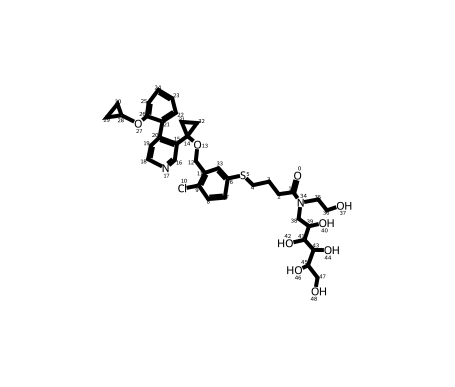 O=C(CCCSc1ccc(Cl)c(COC2(c3cnccc3-c3ccccc3OC3CC3)CC2)c1)N(CCO)CC(O)C(O)C(O)C(O)CO